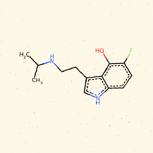 CC(C)NCCc1c[nH]c2ccc(F)c(O)c12